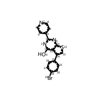 Oc1nc(-c2ccncc2)nc2scc(-c3ccc(Br)cc3)c12